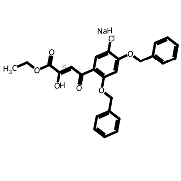 CCOC(=O)/C(O)=C/C(=O)c1cc(Cl)c(OCc2ccccc2)cc1OCc1ccccc1.[NaH]